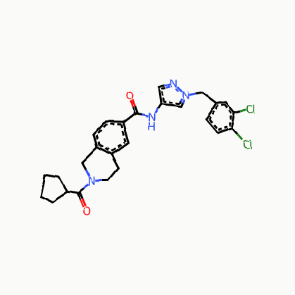 O=C(Nc1cnn(Cc2ccc(Cl)c(Cl)c2)c1)c1ccc2c(c1)CCN(C(=O)C1CCCC1)C2